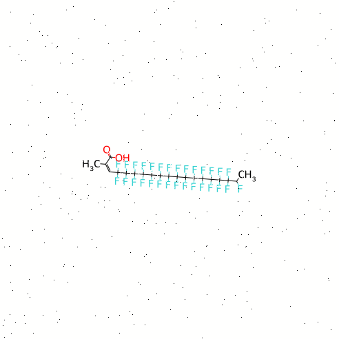 CC(=CC(F)(F)C(F)(F)C(F)(F)C(F)(F)C(F)(F)C(F)(F)C(F)(F)C(F)(F)C(F)(F)C(F)(F)C(F)(F)C(F)(F)C(F)(F)C(F)(F)C(C)F)C(=O)O